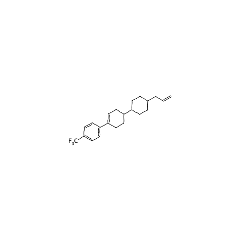 C=CCC1CCC(C2CC=C(c3ccc(C(F)(F)F)cc3)CC2)CC1